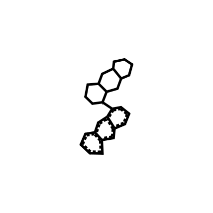 c1ccc2cc3c([C]4CCCC5CC6CCCCC6CC45)cccc3cc2c1